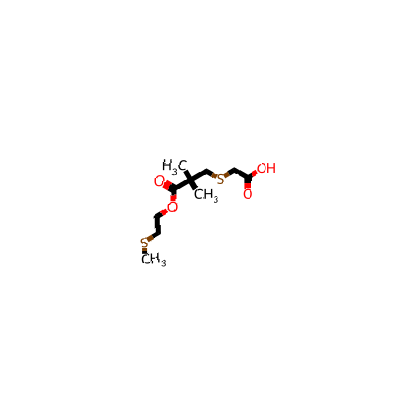 CSCCOC(=O)C(C)(C)CSCC(=O)O